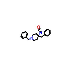 O=C=NC1(Cc2ccccc2)CCN(Cc2ccccc2)CC1